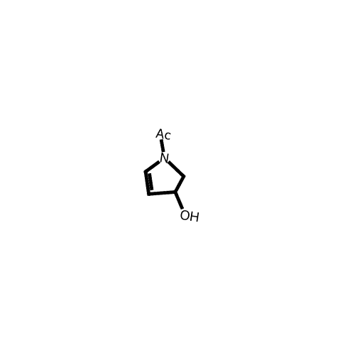 CC(=O)N1C=CC(O)C1